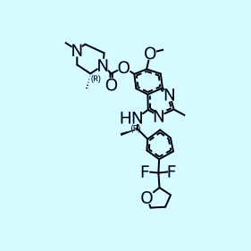 COc1cc2nc(C)nc(N[C@H](C)c3cccc(C(F)(F)C4CCCO4)c3)c2cc1OC(=O)N1CCN(C)C[C@H]1C